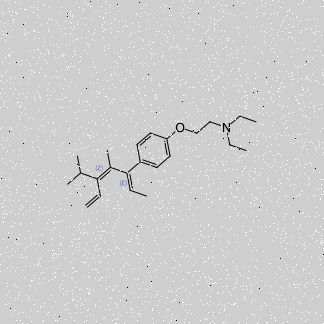 C=C/C(=C(C)\C(=C\C)c1ccc(OCCN(CC)CC)cc1)C(C)C